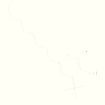 CCCCCCCOc1cc(C(C)(C)C)c(O)c(C(C)(C)C)c1